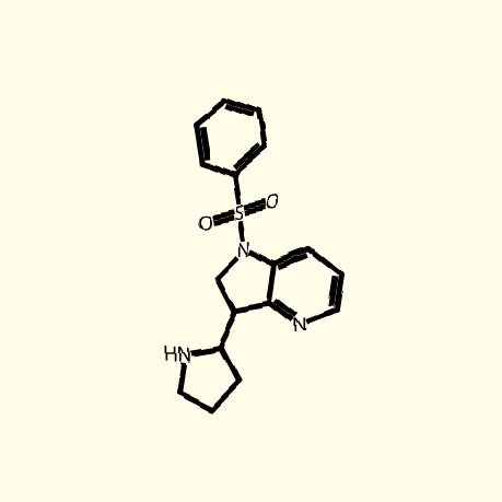 O=S(=O)(c1ccccc1)N1CC(C2CCCN2)c2ncccc21